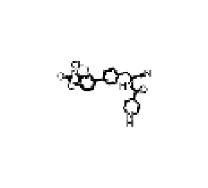 Cn1c(=O)oc2ccc(-c3ccc(CC(C#N)NC(=O)C4CCNCC4)cc3)cc21